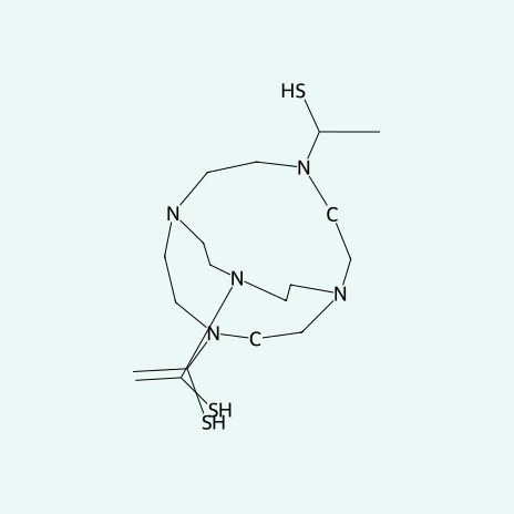 CC(S)N1CCN2CCN(C(C)S)CCN(CC1)CCN(C(C)S)CC2